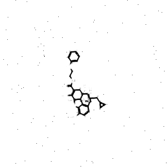 O=C(NCCOc1ccccc1)C1=C(O)[C@@H]2Oc3c(O)ccc4c3[C@@]23CCN(CC2CC2)[C@H](C4)[C@]3(O)C1